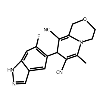 [C-]#[N+]C1=C(C)N2CCOCC2=C(C#N)C1c1cc2cn[nH]c2cc1F